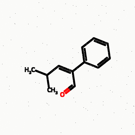 CC(C)C=C(C=O)c1ccccc1